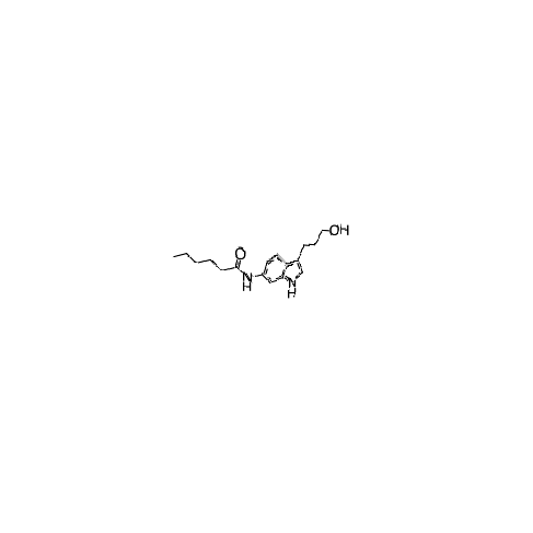 CCCCCC(=O)Nc1ccc2c(CCCO)c[nH]c2c1